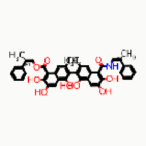 Cc1cc2c(C(=O)NC[C@H](C)c3ccccc3)c(O)c(O)cc2c(O)c1-c1c(C)cc2c(C(=O)OC[C@H](C)c3ccccc3)c(O)c(O)cc2c1O